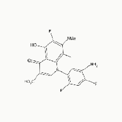 CNc1c(F)c(O)c2c(=O)c(C(=O)O)cn(-c3cc(N)c(F)cc3F)c2c1C